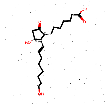 O=C(O)CCCCCC[C@H]1C(=O)C[C@@H](O)[C@@H]1C=CCCCCCCO